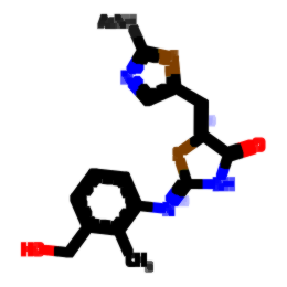 CC(=O)Nc1ncc(/C=C2\S/C(=N\c3cccc(CO)c3C)NC2=O)s1